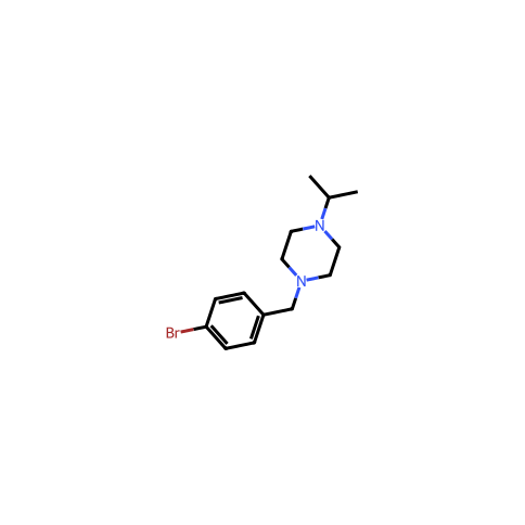 CC(C)N1CCN(Cc2ccc(Br)cc2)CC1